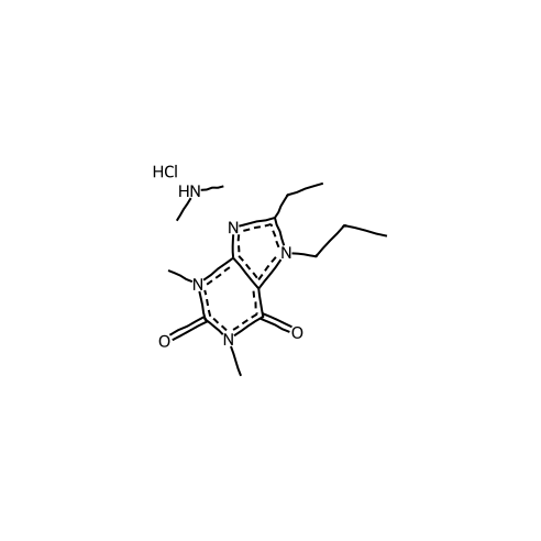 CCCn1c(CC)nc2c1c(=O)n(C)c(=O)n2C.CNC.Cl